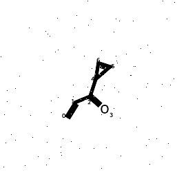 C=CC(=O)C1C=C1